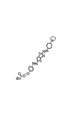 CCC(C)C(=O)OCOc1ccc(N=Nc2cc3sc(N=Nc4ccc(N5CCCC5)cc4)nc3s2)cc1